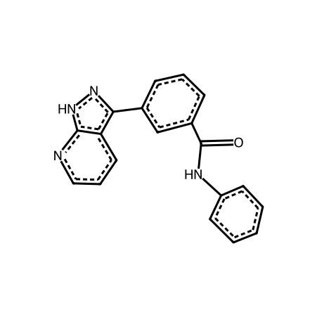 O=C(Nc1ccccc1)c1cccc(-c2n[nH]c3ncccc23)c1